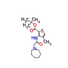 Cc1csc(C(=O)OC(C)(C)C)c1NC(=O)CN1CCCCCC1